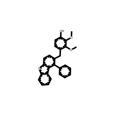 COc1c(O)ccc(Cc2ccc3sc4ccccc4c3c2-c2ccccc2)c1OC